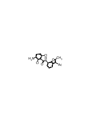 CC(=O)c1c(C)oc2c(NC(=O)c3c(Cl)ccc(N)c3Cl)cccc12